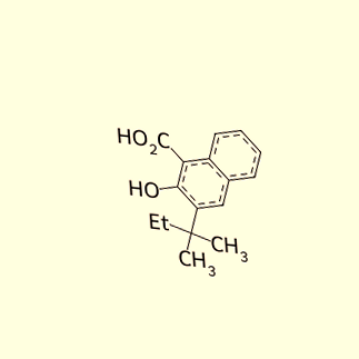 CCC(C)(C)c1cc2ccccc2c(C(=O)O)c1O